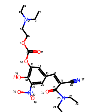 CCN(CC)CCOC(=O)Oc1cc(C=C(C#N)C(=O)N(CC)CC)cc([N+](=O)[O-])c1O